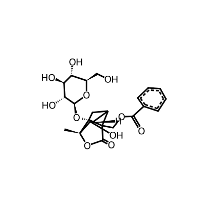 C[C@]12C[C@@H](O)C3C[C@@]1(O[C@@H]1O[C@H](CO)[C@@H](O)[C@H](O)[C@H]1O)C3(COC(=O)c1ccccc1)C(=O)O2